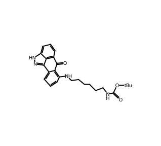 CC(C)(C)OC(=O)NCCCCCCNc1cccc2c1C(=O)c1cccc3[nH]nc-2c13